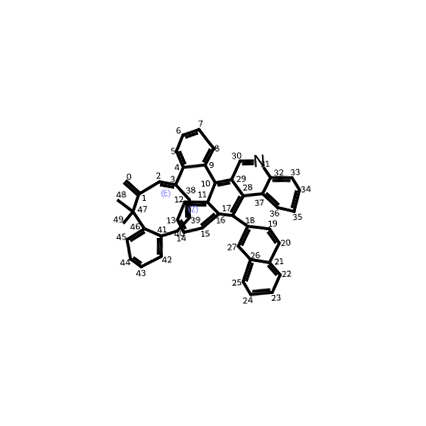 C=C1/C=C(c2ccccc2-c2c3ccccc3c(-c3ccc4ccccc4c3)c3c2cnc2ccccc23)\C=C/Cc2ccccc2C1(C)C